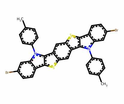 Cc1ccc(-n2c3cc(Br)ccc3c3sc4cc5c(cc4c32)sc2c3ccc(Br)cc3n(-c3ccc(C)cc3)c52)cc1